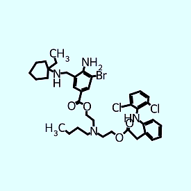 CCCCN(CCOC(=O)Cc1ccccc1Nc1c(Cl)cccc1Cl)CCOC(=O)c1cc(Br)c(N)c(CNC2(CC)CCCCC2)c1